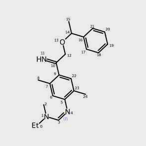 CCN(C)/C=N\c1cc(C)c(C(=N)COC(C)c2ccccc2)cc1C